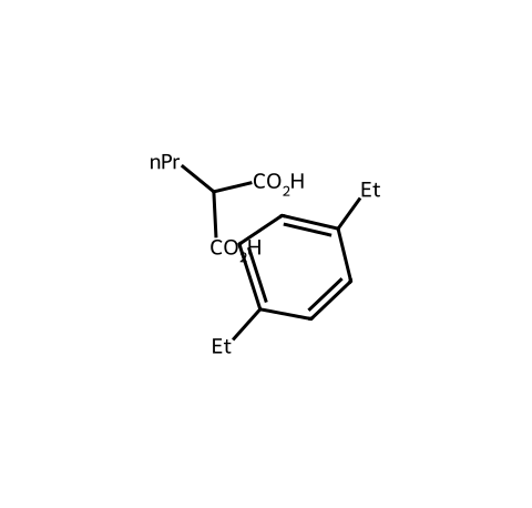 CCCC(C(=O)O)C(=O)O.CCc1ccc(CC)cc1